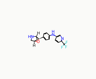 FC(F)(F)c1ccc(Nc2ccc([C@H]3O[C@@H]4CN[C@H]3C4)cc2)cn1